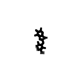 CC(=O)c1nnc(C)c(Cc2cc3c(C)c(C)c(C)cc3n2C)c1C